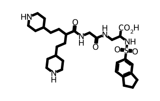 O=C(CNC(=O)C(CCC1CCNCC1)CCC1CCNCC1)NCC(NS(=O)(=O)c1ccc2c(c1)CCC2)C(=O)O